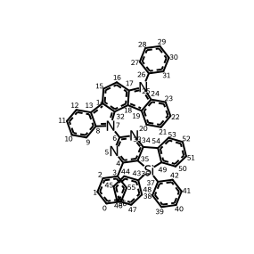 c1ccc(-c2nc(-n3c4ccccc4c4ccc5c(c6ccccc6n5-c5ccccc5)c43)nc3c2[Si](c2ccccc2)(c2ccccc2)c2ccccc2-3)cc1